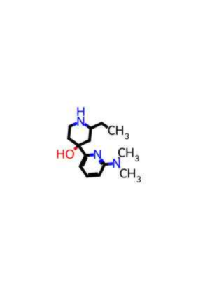 CCC1CC(O)(c2cccc(N(C)C)n2)CCN1